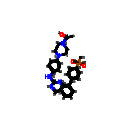 CC(=O)N1CCN(c2ccc(Nc3ncc4cccc(-c5ccc(S(C)(=O)=O)cc5)c4n3)cc2)CC1